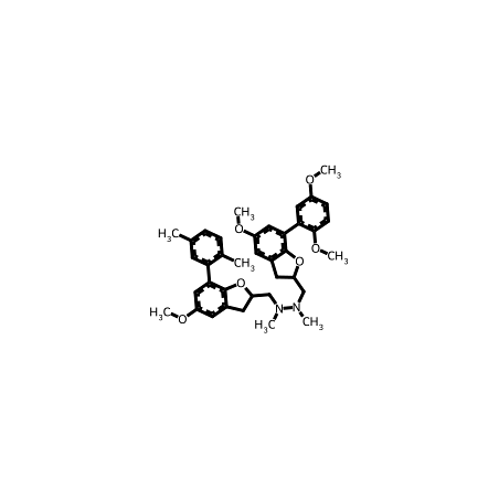 COc1ccc(OC)c(-c2cc(OC)cc3c2OC(CN(C)N(C)CC2Cc4cc(OC)cc(-c5cc(C)ccc5C)c4O2)C3)c1